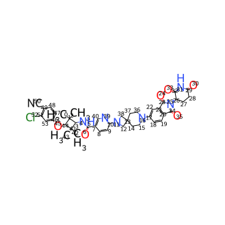 CC1(C)C(NC(=O)c2ccc(N3CC4(CCN(c5ccc6c(c5)C(=O)N(C5CCC(=O)NC5=O)C6=O)CC4)C3)nc2)C(C)(C)C1Oc1ccc(C#N)c(Cl)c1